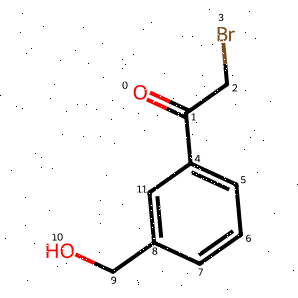 O=C(CBr)c1cccc(CO)c1